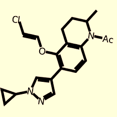 CC(=O)N1c2ccc(-c3cnn(C4CC4)c3)c(O/C=C/Cl)c2CCC1C